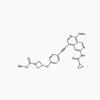 CNc1ncc(C#Cc2ccc(OC3CN(C(=O)OC(C)(C)C)C3)cc2)c2cc(NC(=O)C3CC3)ncc12